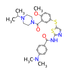 COc1ccc(Sc2cnc(NC(=O)c3ccc(N(C)C)cc3)s2)cc1C(=O)N1CCN(C(C)C)CC1